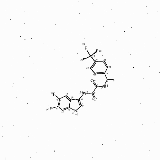 CC(NC(=O)C(=O)Nc1c[nH]c2cc(F)c(F)cc12)c1ccc(C(F)(F)F)cc1